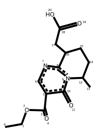 CCOC(=O)c1cnc2n(c1=O)C(C)CCC2CC(=O)O